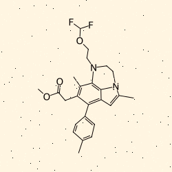 COC(=O)Cc1c(C)c2c3c(cc(C)n3CCN2CCOC(F)F)c1-c1ccc(C)cc1